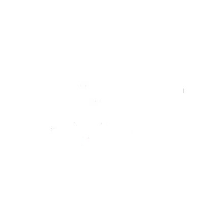 COC(=O)COc1c2ccoc2c(OCC(=O)OC)c2oc(=O)ccc12